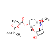 CC(=O)O[C@@H](C)C(=O)O[C@@H](C)C(=O)OC1=CC[C@]2(O)C[C@H]1Oc1c(O)ccc3c1CCCN(C)[C@@H]2C3